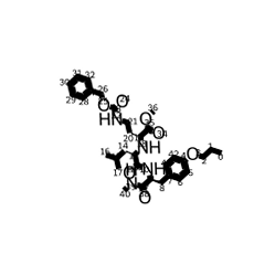 CCCOc1ccc(C[C@H](NC(=O)[C@H](CC(C)C)N[C@H](CCNC(=O)OCc2ccccc2)C(=O)OC)C(=O)NC)cc1